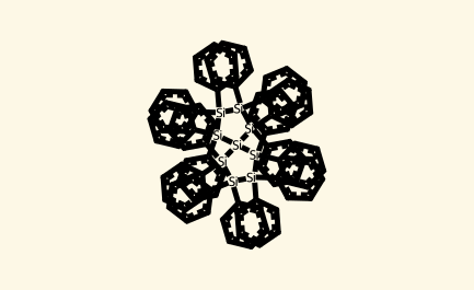 c1ccc([Si]2(c3ccccc3)[Si](c3ccccc3)(c3ccccc3)[Si](c3ccccc3)(c3ccccc3)[Si]3([Si]2(c2ccccc2)c2ccccc2)[Si](c2ccccc2)(c2ccccc2)[Si](c2ccccc2)(c2ccccc2)[Si](c2ccccc2)(c2ccccc2)[Si]3(c2ccccc2)c2ccccc2)cc1